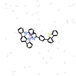 c1ccc(-n2c3ccccc3c3ccc4c5ccccc5n(-c5nccc(-c6ccc(-c7cccc8c7sc7ccccc78)cc6)n5)c4c32)cc1